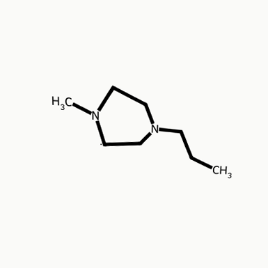 CCCN1C[CH]N(C)CC1